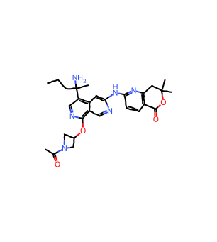 CCCC(C)(N)c1cnc(OC2CN(C(C)=O)C2)c2cnc(Nc3ccc4c(n3)CC(C)(C)OC4=O)cc12